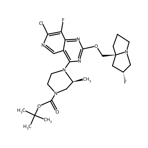 C[C@H]1CN(C(=O)OC(C)(C)C)CCN1c1nc(OC[C@@]23CCCN2C[C@H](F)C3)nc2c(F)c(Cl)ncc12